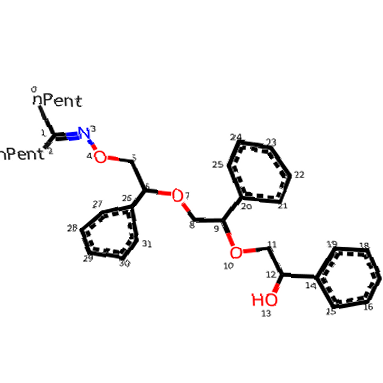 CCCCCC(CCCCC)=NOCC(OCC(OCC(O)c1ccccc1)c1ccccc1)c1ccccc1